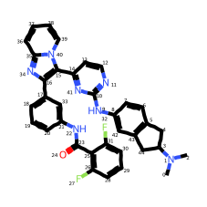 CN(C)C1Cc2ccc(Nc3nccc(-c4c(-c5cccc(NC(=O)c6c(F)cccc6F)c5)nc5ccccn45)n3)cc2C1